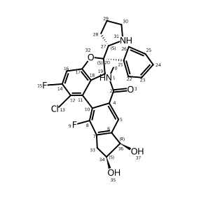 CNC(=O)c1cc2c(c(F)c1-c1c(Cl)c(F)cc3c1C[C@](c1ccccc1)([C@@H]1CCCN1)O3)C[C@H](O)[C@@H]2O